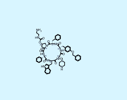 NCCNC(=O)O[C@@H]1C[C@H]2C(=O)N[C@@H](c3ccccc3)C(=O)N[C@H](Cc3c[nH]c4ccccc34)C(=O)N[C@@H](CN3CCNCC3)C(=O)N[C@@H](Cc3ccc(OCc4ccccc4)cc3)C(=O)N[C@@H](Cc3ccccc3)C(=O)N2C1